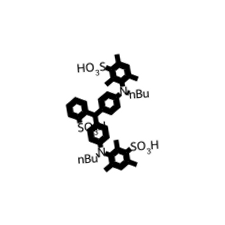 CCCCN(c1ccc(C(c2ccc(N(CCCC)c3c(C)cc(C)c(S(=O)(=O)O)c3C)cc2)c2ccccc2S(=O)(=O)O)cc1)c1c(C)cc(C)c(S(=O)(=O)O)c1C